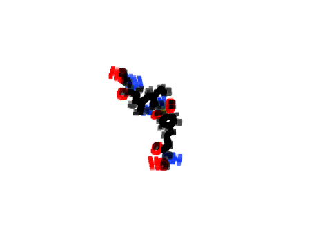 O=C(C=CCc1ccc(S(=O)(=O)N2CCc3cc(C=CC(=O)NO)cnc32)cc1)NO